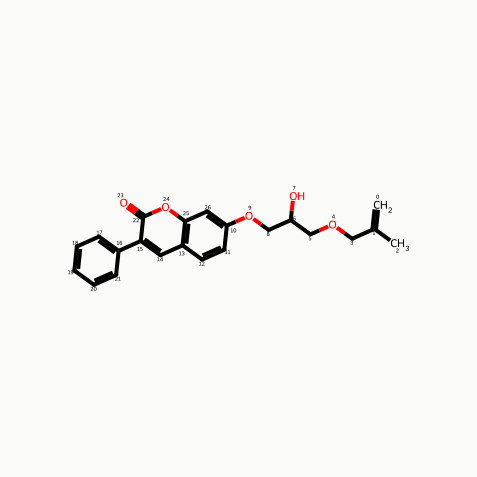 C=C(C)COCC(O)COc1ccc2cc(-c3ccccc3)c(=O)oc2c1